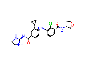 O=C(N=C1NCCN1)c1ccc(Nc2cccc(C(=O)NC3CCOC3)c2Cl)c(C2CC2)c1